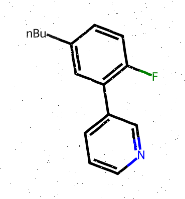 CCCCc1ccc(F)c(-c2cccnc2)c1